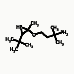 CC(C)(P)CCOC1(C)PC1C(C)(C)C